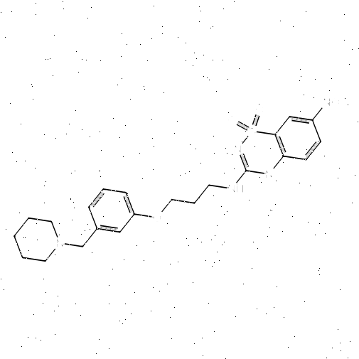 O=[N+]([O-])c1ccc2c(c1)S(=O)(=O)N=C(NCCCOc1cccc(CN3CCCCC3)c1)N2